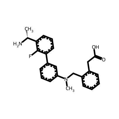 C[C@@H](N)c1cccc(-c2cccc(N(C)Cc3ccccc3CC(=O)O)c2)c1F